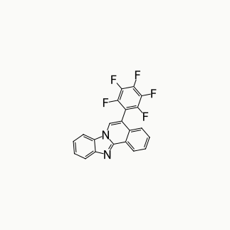 Fc1c(F)c(F)c(-c2cn3c4ccccc4nc3c3ccccc23)c(F)c1F